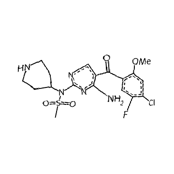 COc1cc(Cl)c(F)cc1C(=O)c1cnc(N(C2CCNCC2)S(C)(=O)=O)nc1N